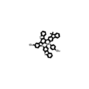 CC(C)(C)c1ccc(N2B3c4cc5c(cc4-n4c6ccc(C(C)(C)C)cc6c6c7sc8ccccc8c7c(c3c64)-c3cc4c(cc32)-c2ccccc2C4(C)C)sc2ccccc25)cc1